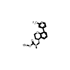 CN(C[C@H]1CCOc2c(-c3ccnc(C(F)(F)F)c3)cccc21)C(=O)OC(C)(C)C